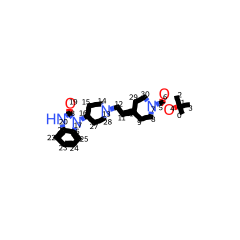 CC(C)(C)OC(=O)N1CCC(=CCN2CCC(n3c(=O)[nH]c4ccccc43)CC2)CC1